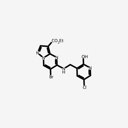 CCOC(=O)c1cnn2cc(Br)c(NCc3cc(Cl)cnc3O)nc12